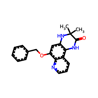 CC1(C)Nc2cc(OCc3ccccc3)c3ncccc3c2NC1=O